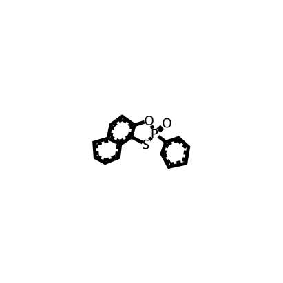 O=P1(c2ccccc2)Oc2ccc3ccccc3c2S1